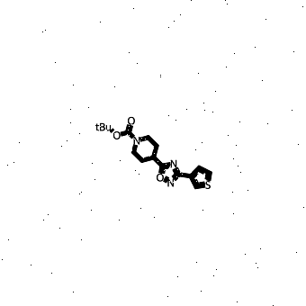 CC(C)(C)OC(=O)N1CCC(c2nc(-c3ccsc3)no2)CC1